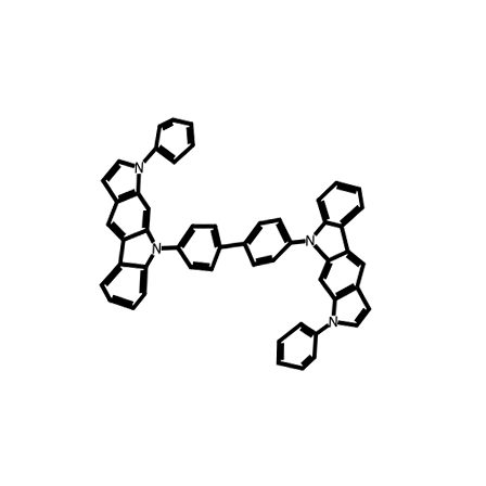 c1ccc(-n2ccc3cc4c5ccccc5n(-c5ccc(-c6ccc(-n7c8ccccc8c8cc9ccn(-c%10ccccc%10)c9cc87)cc6)cc5)c4cc32)cc1